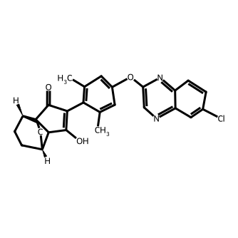 Cc1cc(Oc2cnc3cc(Cl)ccc3n2)cc(C)c1C1=C(O)C2C(C1=O)[C@H]1CC[C@@H]2CC1